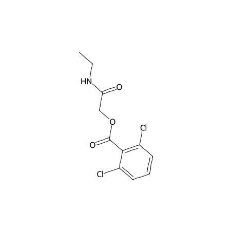 CCNC(=O)COC(=O)c1c(Cl)cccc1Cl